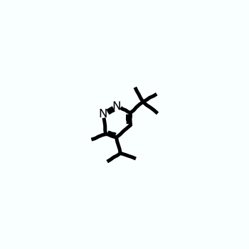 Cc1nnc(C(C)(C)C)cc1C(C)C